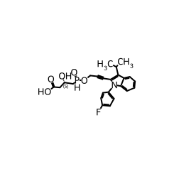 CC(C)c1c(C#CCO[PH](=O)C[C@@H](O)CC(=O)O)n(-c2ccc(F)cc2)c2ccccc12